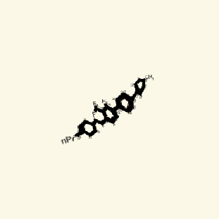 CCCC1CCC(CCc2ccc(-c3ccc(-c4ccc(C)cc4)cc3)c(F)c2C(F)F)CC1